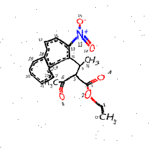 CCOC(=O)C(C(C)=O)C(C)c1c([N+](=O)[O-])ccc2ccccc12